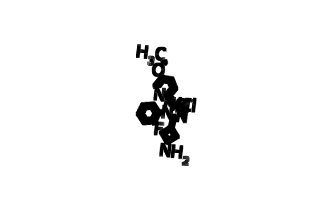 CCOc1ccc(-c2nnc(C3CC(N)C3)n2-c2ccccc2F)nc1.Cl.Cl